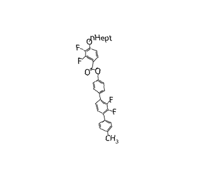 CCCCCCCOc1ccc(C(=O)Oc2ccc(-c3ccc(-c4ccc(C)cc4)c(F)c3F)cc2)c(F)c1F